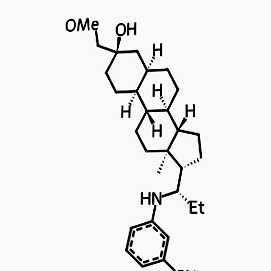 CC[C@H](Nc1cccc(C#N)c1)[C@H]1CC[C@H]2[C@@H]3CC[C@@H]4C[C@@](O)(COC)CC[C@@H]4[C@H]3CC[C@]12C